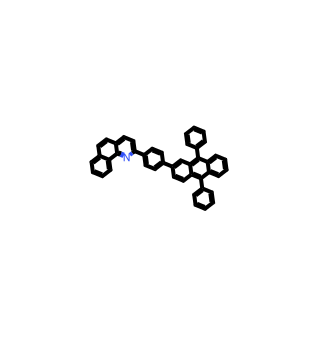 c1ccc(-c2c3ccccc3c(-c3ccccc3)c3cc(-c4ccc(-c5ccc6ccc7ccccc7c6n5)cc4)ccc23)cc1